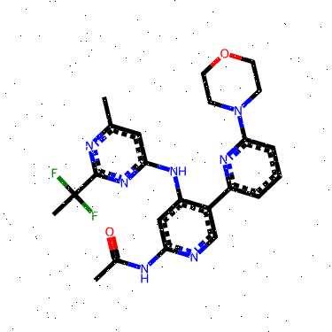 CC(=O)Nc1cc(Nc2cc(C)nc(C(C)(F)F)n2)c(-c2cccc(N3CCOCC3)n2)cn1